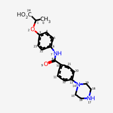 CC(Oc1ccc(NC(=O)c2ccc(N3CCNCC3)cc2)cc1)C(=O)O